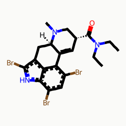 CCN(CC)C(=O)[C@@H]1C=C2c3c(Br)cc(Br)c4[nH]c(Br)c(c34)C[C@H]2N(C)C1